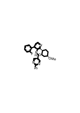 CO[C@H]1CC[C@H](c2nccc(-c3ccccc3F)c2NC(=O)c2cnc(C(C)C)nc2)CC1